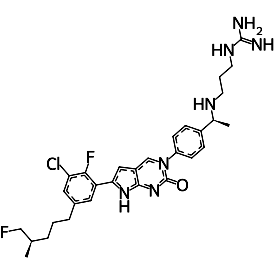 C[C@@H](CF)CCCc1cc(Cl)c(F)c(-c2cc3cn(-c4ccc([C@H](C)NCCCNC(=N)N)cc4)c(=O)nc3[nH]2)c1